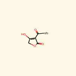 CCCC(=O)C1=C(O)COC1=O